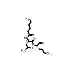 CCCCCC(=O)N[C@@H](CC(C)C)C(=O)N[C@H](C=O)CCCC